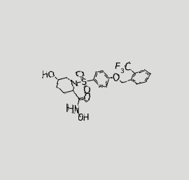 O=C(NO)C1CCC(O)CN1S(=O)(=O)c1ccc(OCc2ccccc2C(F)(F)F)cc1